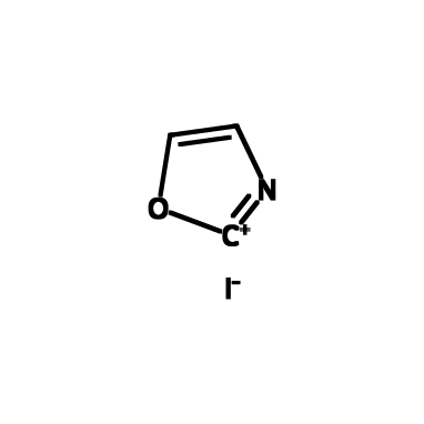 [C+]1=NC=CO1.[I-]